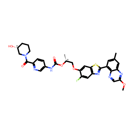 COc1cnc2c(-c3nc4cc(F)c(OC[C@@H](C)OC(=O)Nc5ccc(C(=O)N6CCC[C@@H](O)C6)nc5)cc4s3)cc(C)cc2n1